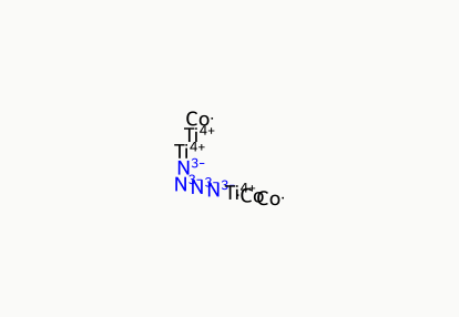 [Co].[Co].[Co].[N-3].[N-3].[N-3].[N-3].[Ti+4].[Ti+4].[Ti+4]